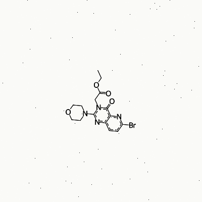 CCOC(=O)Cn1c(N2CCOCC2)nc2ccc(Br)nc2c1=O